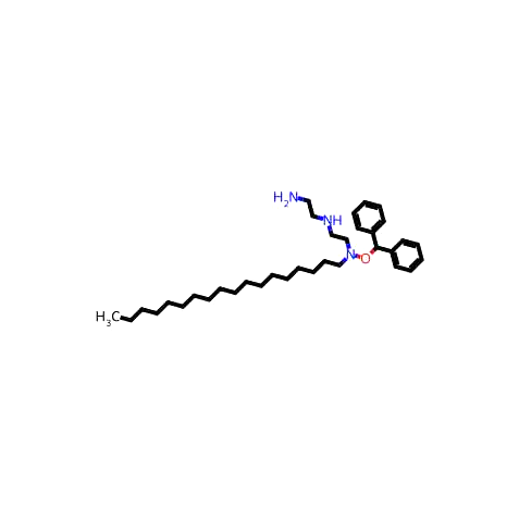 CCCCCCCCCCCCCCCCCCN(CCNCCN)OC(c1ccccc1)c1ccccc1